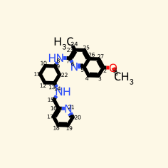 COc1ccc2nc(NC3CCCC(NCc4ccccn4)C3)c(C)cc2c1